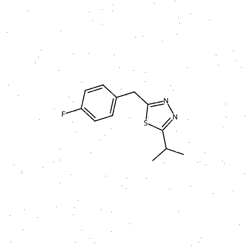 CC(C)c1nnc(Cc2ccc(F)cc2)s1